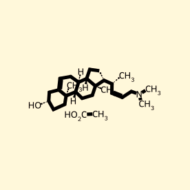 CC(=O)O.C[C@H](/C=C\CN(C)C)[C@H]1CC[C@H]2[C@@H]3CC=C4C[C@@H](O)CC[C@]4(C)[C@H]3CC[C@]12C